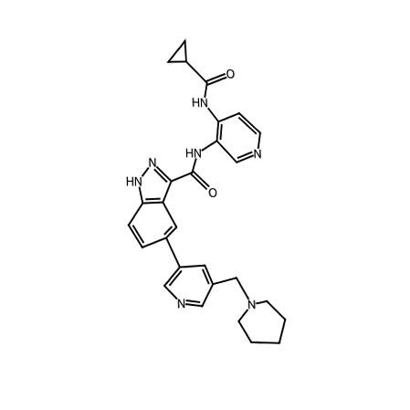 O=C(Nc1cnccc1NC(=O)C1CC1)c1n[nH]c2ccc(-c3cncc(CN4CCCCC4)c3)cc12